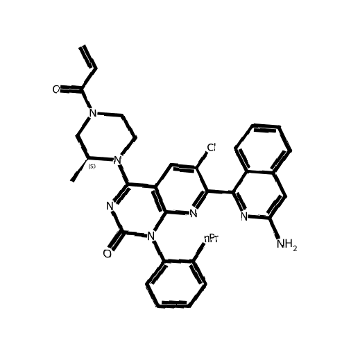 C=CC(=O)N1CCN(c2nc(=O)n(-c3ccccc3CCC)c3nc(-c4nc(N)cc5ccccc45)c(Cl)cc23)[C@@H](C)C1